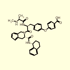 CN[C@@H](C)C(=O)N[C@@H](Cc1ccc(Oc2ccc(C(=O)O)cc2)cc1)C(=O)N1Cc2ccccc2C[C@H]1C(=O)N[C@@H]1CCCc2ccccc21